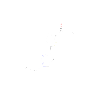 COC(=O)c1ccc(-c2ccn(CCO)n2)s1